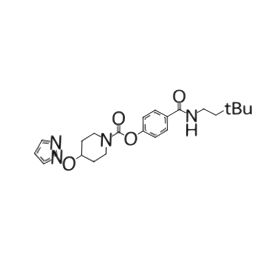 CC(C)(C)CCNC(=O)c1ccc(OC(=O)N2CCC(On3cccn3)CC2)cc1